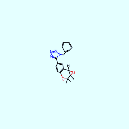 CC1(C)Oc2ccc(-c3nnnn3Cc3ccccc3)cc2[C@@H]2O[C@@]21C